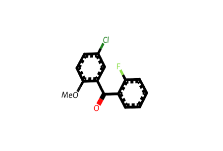 COc1ccc(Cl)cc1C(=O)c1ccccc1F